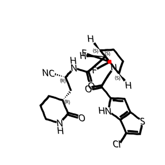 N#C[C@@H](C[C@H]1CCCNC1=O)NC(=O)[C@@H]1[C@@H]2CC[C@@H](CC2(F)F)N1C(=O)c1cc2scc(Cl)c2[nH]1